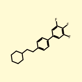 Fc1cc(-c2ccc(CCC3CCCCC3)cc2)cc(F)c1F